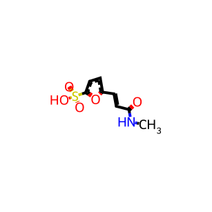 CNC(=O)C=Cc1ccc(S(=O)(=O)O)o1